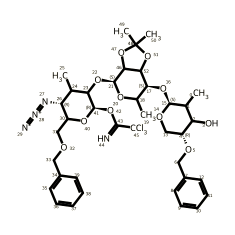 CC1C(O)[C@H](OCc2ccccc2)CO[C@H]1O[C@H]1C(C)O[C@@H](OC2C(C)[C@@H](N=[N+]=[N-])C(COCc3ccccc3)O[C@@H]2OC(=N)C(Cl)(Cl)Cl)C2OC(C)(C)OC21